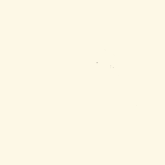 COc1ccc(N2C(=O)[C@@H](O)[C@H]2c2ccc(OCc3ccccc3)cc2OCc2ccccc2)cc1